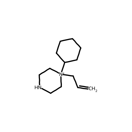 C=CC[N+]1(C2CCCCC2)CCNCC1